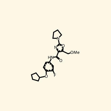 COCc1oc(N2CCCC2)nc1C(=O)Nc1ccc(OC2CCCC2)c(F)c1